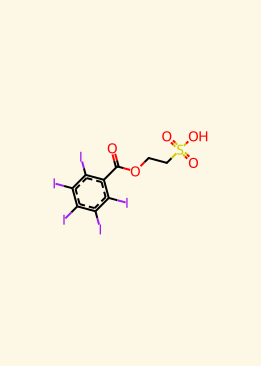 O=C(OCCS(=O)(=O)O)c1c(I)c(I)c(I)c(I)c1I